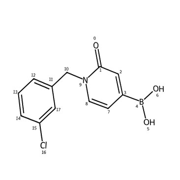 O=c1cc(B(O)O)ccn1Cc1cccc(Cl)c1